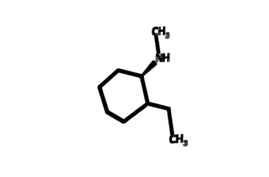 CCC1CCCC[C@H]1NC